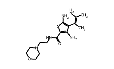 C/C(N)=C(\C)c1c(N)sc(C(=O)NCCN2CCOCC2)c1N